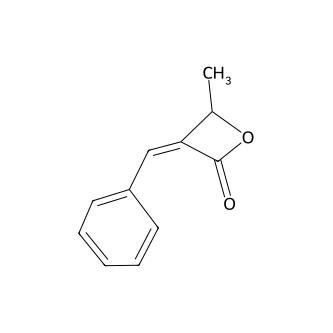 CC1OC(=O)C1=Cc1ccccc1